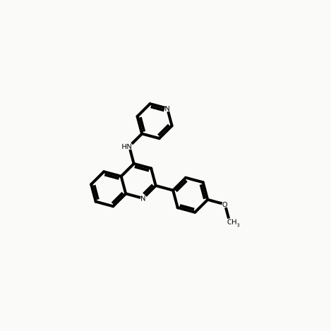 COc1ccc(-c2cc(Nc3ccncc3)c3ccccc3n2)cc1